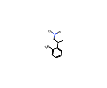 CCN(CC)CC(C)c1ccccc1[SiH3]